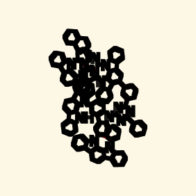 c1ccc(-c2nc(-c3cccc(-c4cc5c6ccccc6n(-c6nc(-c7ccc8ccccc8c7)nc(-n7c8ccccc8c8ccc9c%10ccccc%10n(-c%10ccccc%10)c9c87)n6)c5c5c4c4ccccc4n5-c4ccccc4)c3)nc(-n3c4ccc(-n5c6ccccc6c6ccc7c8ccccc8[nH]c7c65)cc4c4cc(-n5c6ccccc6c6ccc7c8ccccc8n(-c8ccccc8)c7c65)ccc43)n2)cc1